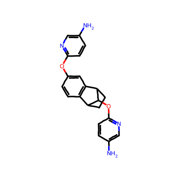 Nc1ccc(Oc2ccc3c(c2)C2CCC3C2Oc2ccc(N)cn2)nc1